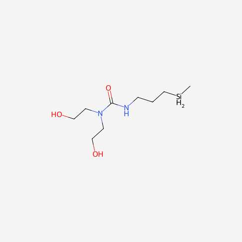 C[SiH2]CCCNC(=O)N(CCO)CCO